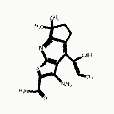 C/C=C(\O)c1c2c(nc3sc(C(N)=O)c(N)c13)C(C)(C)CC2